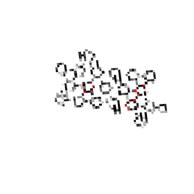 Clc1ccc(-c2ccc(-c3cc(-c4ccc(-c5ccc(Cl)cc5-c5cc(-c6ccccc6-c6ccc(-c7ccccn7)cc6-c6ccccc6)cc(-c6ccccc6-c6ccc(-c7ccccn7)cc6-c6ccccc6)c5)cc4)ncn3)cc2)c(-c2cc(-c3ccccc3-c3ccc(-c4ccccn4)cc3-c3ccccc3)cc(-c3ccccc3-c3ccc(-c4ccccn4)cc3-c3ccccc3)c2)c1